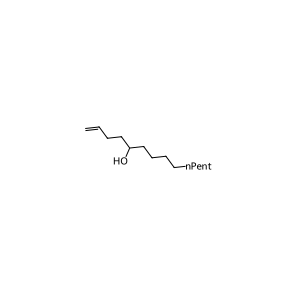 C=CCCC(O)CCCCCCCCC